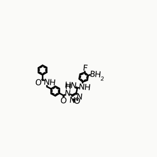 Bc1cc(NC(=N)c2nonc2NC(=O)c2ccc(CNC(=O)c3ccccc3)cc2)ccc1F